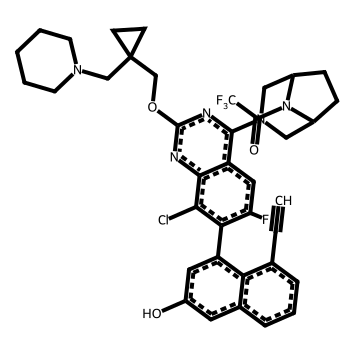 C#Cc1cccc2cc(O)cc(-c3c(F)cc4c(N5CC6CCC(C5)N6C(=O)C(F)(F)F)nc(OCC5(CN6CCCCC6)CC5)nc4c3Cl)c12